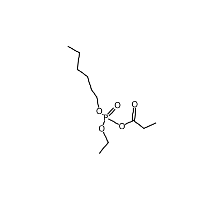 CCCCCCOP(=O)(OCC)OC(=O)CC